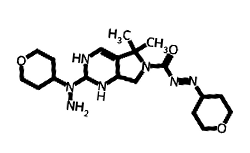 CC1(C)C2=CNC(N(N)C3CCOCC3)NC2CN1C(=O)N=NC1CCOCC1